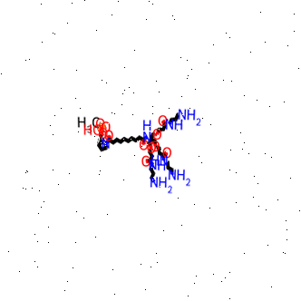 COP(=O)(O)OC[C@@H]1CCCN1C(=O)CCCCCCCCC(=O)NC(COCCC(=O)NCCCN)(COCCC(=O)NCCCN)COCCC(=O)NCCCN